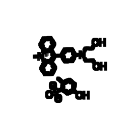 C[n+]1c2ccccc2c(-c2ccc(N(CCO)CCO)cc2)c2ccccc21.Cc1ccc(O)cc1S(=O)(=O)[O-]